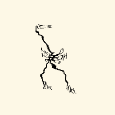 CCCCCCCCC=CCCCCCCCC(=O)C(O)(CO)C(O)(C(=O)CCCCCCCC=CCCCCCCCC)C(=O)CCCCCCCCCCCCCCCCC